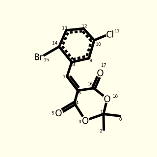 CC1(C)OC(=O)C(=Cc2cc(Cl)ccc2Br)C(=O)O1